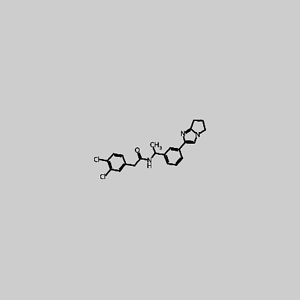 CC(NC(=O)Cc1ccc(Cl)c(Cl)c1)c1cccc(-c2cn3c(n2)CCC3)c1